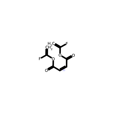 C=C(F)OC(=O)/C=C\C(=O)OC(=C)F